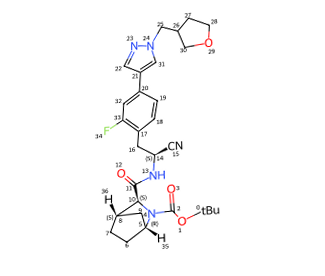 CC(C)(C)OC(=O)N1[C@@H]2CC[C@@H](C2)[C@H]1C(=O)N[C@H](C#N)Cc1ccc(-c2cnn(CC3CCOC3)c2)cc1F